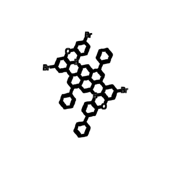 Brc1ccc2c(c1)Oc1cc(Br)cc3c1B2c1cc2c(-c4ccccc4)cc4c5c(cc6c(-c7ccccc7)cc-3c1c6c25)B1c2ccc(-c3ccccc3)cc2Oc2cc(Br)cc-4c21